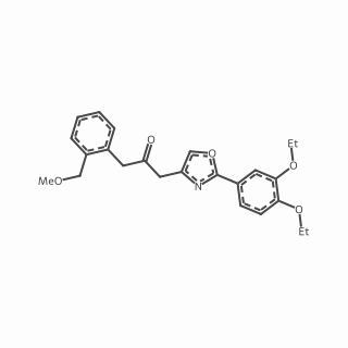 CCOc1ccc(-c2nc(CC(=O)Cc3ccccc3COC)co2)cc1OCC